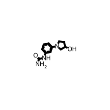 NC(=O)Nc1cccc(N2CCC(O)C2)c1